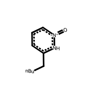 CCCCCc1ccc[n+](=O)[nH]1